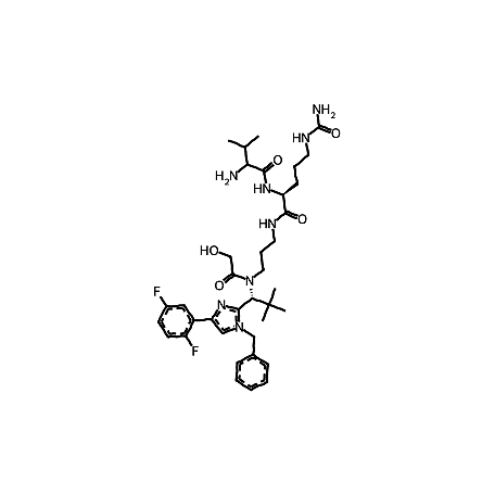 CC(C)C(N)C(=O)N[C@@H](CCCNC(N)=O)C(=O)NCCCN(C(=O)CO)[C@@H](c1nc(-c2cc(F)ccc2F)cn1Cc1ccccc1)C(C)(C)C